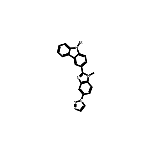 CCn1c2ccccc2c2cc(-c3nc4cc(-n5ccnn5)ccc4n3C)ccc21